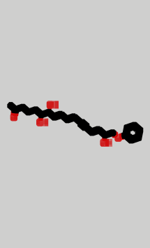 CC(=O)CCC[C@H](O)[C@H](O)/C=C/C=C/C#C/C=C/[C@H](O)COc1ccccc1